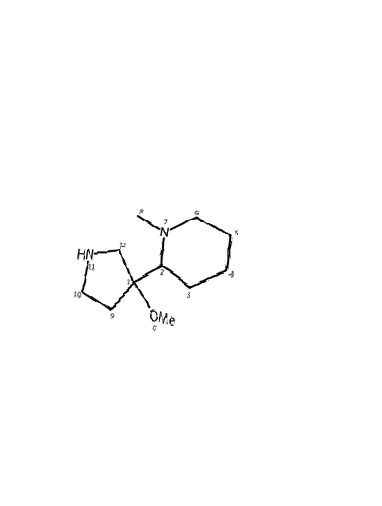 COC1(C2CCCCN2C)CCNC1